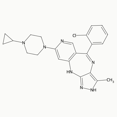 Cc1[nH]nc2c1N=C(c1ccccc1Cl)c1cnc(N3CCN(C4CC4)CC3)cc1N2